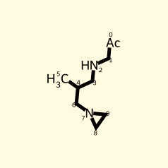 CC(=O)CNCC(C)CN1CC1